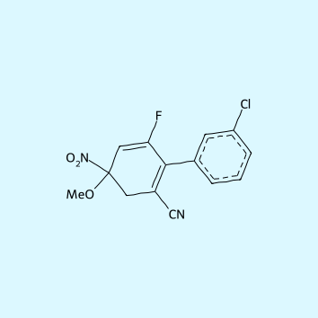 COC1([N+](=O)[O-])C=C(F)C(c2cccc(Cl)c2)=C(C#N)C1